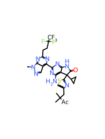 CC(=O)C(C)(C)Cc1csc(C2(C3CC3)C(=O)Nc3nc(-c4nc(CCC(F)(F)C(F)(F)F)nc5c4cnn5C)nc(N)c32)n1